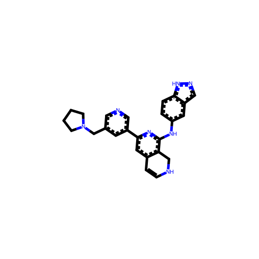 C1=Cc2cc(-c3cncc(CN4CCCC4)c3)nc(Nc3ccc4[nH]ncc4c3)c2CN1